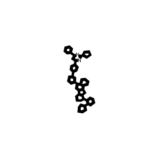 C1=CC(c2nc(-c3ccccc3)cc(-c3ccc(-c4cccc(-c5cc6c(c7ccccc57)CC5=C6C=CCC5c5ccccc5-c5ccccc5)c4)cc3)n2)=CC1